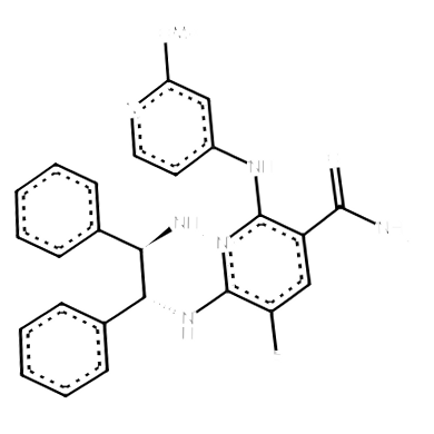 COc1cc(Nc2nc(N[C@H](c3ccccc3)[C@H](N)c3ccccc3)c(F)cc2C(N)=O)ccn1